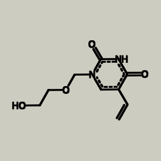 C=Cc1cn(COCCO)c(=O)[nH]c1=O